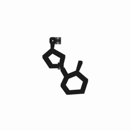 C[C@H]1CCCCC1N1CC[C@@H](O)C1